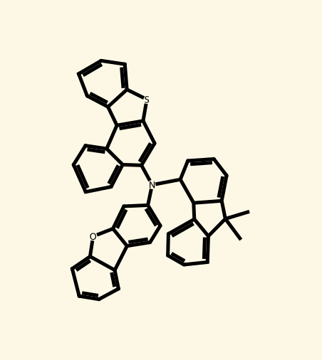 CC1(C)C2=CC=CC(N(c3ccc4c(c3)oc3ccccc34)c3cc4sc5ccccc5c4c4ccccc34)C2c2ccccc21